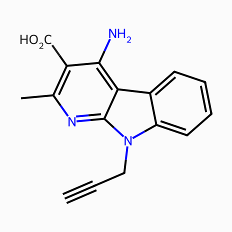 C#CCn1c2ccccc2c2c(N)c(C(=O)O)c(C)nc21